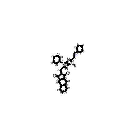 Cn1c(/C=C/c2ccccc2)nc2c1nc(C=C1C(=O)c3cc4ccccc4cc3C1=O)n2-c1ccccc1